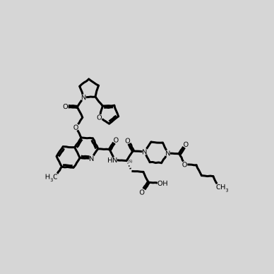 CCCCOC(=O)N1CCN(C(=O)[C@H](CCC(=O)O)NC(=O)c2cc(OCC(=O)N3CCCC3c3ccco3)c3ccc(C)cc3n2)CC1